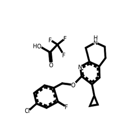 Fc1cc(Cl)ccc1COc1nc2c(cc1C1CC1)CCNC2.O=C(O)C(F)(F)F